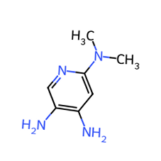 CN(C)c1cc(N)c(N)cn1